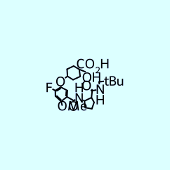 COc1cc(F)c(OC2CCC(CO)(C(=O)O)CC2)cc1C(=O)NC1CCCC1C(=O)NCC(C)(C)C